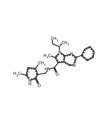 CC[C@@H](C)n1c(C)c(C(=O)NCc2c(C)cc(C)[nH]c2=O)c2cnc(-c3ccccc3)nc21